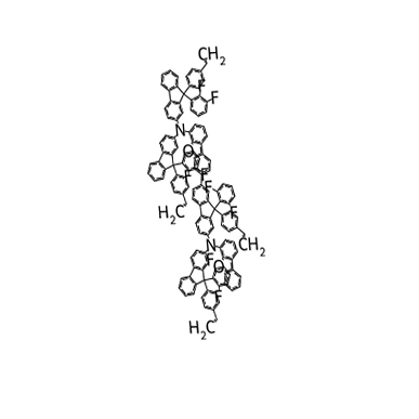 C=Cc1ccc(C2(c3cccc(F)c3F)c3ccccc3-c3ccc(N(c4ccc5c(c4)C(c4ccc(C=C)cc4)(c4cccc(F)c4F)c4ccccc4-5)c4cccc5c4oc4cc(-c6ccc7c(c6)C(c6ccc(C=C)cc6)(c6c(F)cccc6F)c6cc(N(c8ccc9c(c8)C(c8ccc(C=C)cc8)(c8c(F)cccc8F)c8ccccc8-9)c8cccc9c8oc8ccccc89)ccc6-7)ccc45)cc32)cc1